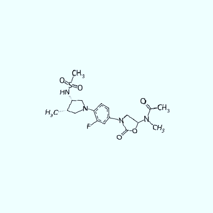 CC(=O)N(C)C1CN(c2ccc(N3C[C@H](C)[C@H](NS(C)(=O)=O)C3)c(F)c2)C(=O)O1